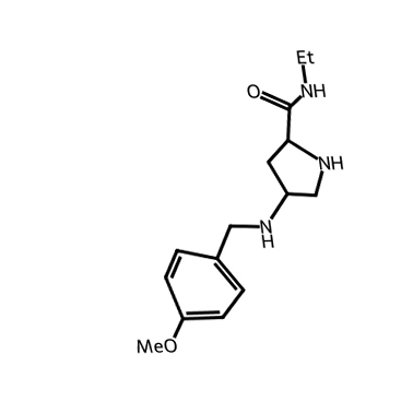 CCNC(=O)C1CC(NCc2ccc(OC)cc2)CN1